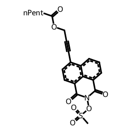 CCCCCC(=O)OCC#Cc1ccc2c3c(cccc13)C(=O)N(OS(C)(=O)=O)C2=O